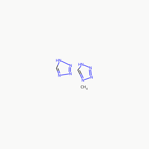 C.c1nnn[nH]1.c1nnn[nH]1